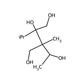 C[C](C)C(O)(CO)C(C)(CO)C(C)O